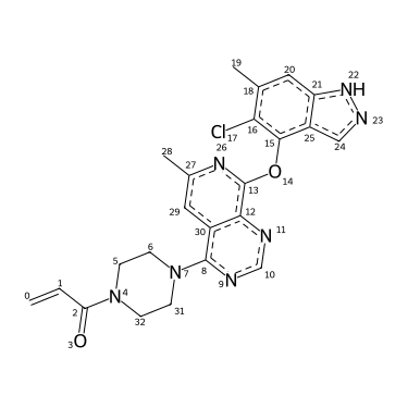 C=CC(=O)N1CCN(c2ncnc3c(Oc4c(Cl)c(C)cc5[nH]ncc45)nc(C)cc23)CC1